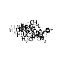 CC[C@H](C)[C@@H]([C@H](CC(=O)N1C[C@H](OC)C[C@@H]1[C@H](OC)[C@@H](C)C(=O)NCCc1ccc(F)cc1)OC)N(C)C(=O)[C@@H](NC(=O)[C@@H](NC)C(C)C)C(C)C